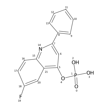 O=P(O)(O)Oc1cc(-c2ccccc2)nc2ccc(F)cc12